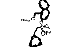 CCOC(=O)Cc1c(OP(=O)(O)Cc2ccccc2)ccc2ccccc12